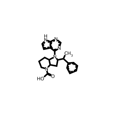 CC(c1ccccc1)C1CC2C(CCCN2C(=O)O)N1c1ncnc2[nH]ccc12